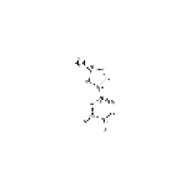 CC(C)N(C)CC(=O)N1CCC(N)C1